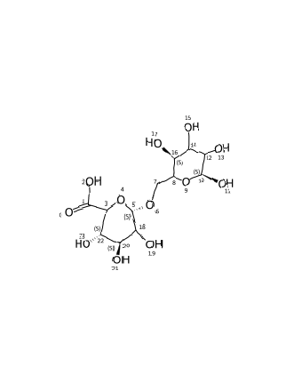 O=C(O)C1O[C@H](OCC2O[C@H](O)C(O)C(O)[C@@H]2O)C(O)[C@@H](O)[C@@H]1O